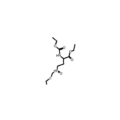 CCOC[PH](=O)CCC(NC(=O)OCC)C(=O)OCC